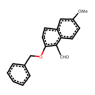 COc1ccc2c(C=O)c(OCc3ccccc3)ccc2c1